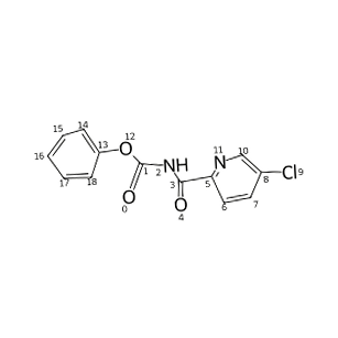 O=C(NC(=O)c1ccc(Cl)cn1)Oc1ccccc1